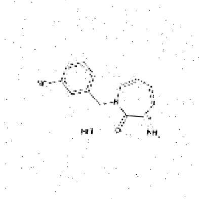 Cl.N#Cc1cccc(CN2C=CC=C[C@H](N)C2=O)c1